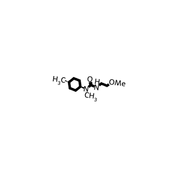 COCCNC(=O)N(C)[C@H]1CC[C@H](C)CC1